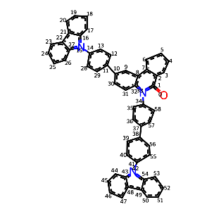 O=c1c2ccccc2c2cc(-c3ccc(-n4c5ccccc5c5ccccc54)cc3)ccc2n1-c1ccc(-c2ccc(-n3c4ccccc4c4ccccc43)cc2)cc1